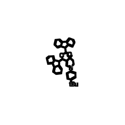 CC1(C)CCN(c2ccc(C(C)(C)C)cc2)C=C1C(OC(=O)C1c2ccccc2-c2ccccc21)C1c2ccccc2-c2ccccc21